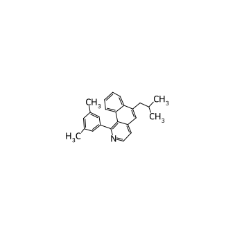 Cc1cc(C)cc(-c2nccc3cc(CC(C)C)c4ccccc4c23)c1